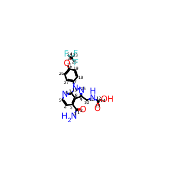 NC(=O)c1ccnc2c1c(CNC(=O)O)nn2-c1ccc(OC(F)(F)F)cc1